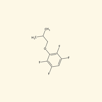 CC(C)COc1c(F)c(F)cc(F)c1F